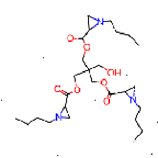 CCCCN1CC1C(=O)OCC(CO)(COC(=O)C1CN1CCCC)COC(=O)C1CN1CCCC